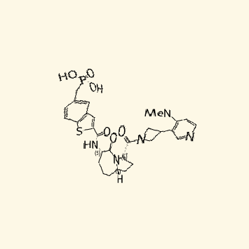 CNc1ccncc1C1CN(C(=O)[C@@H]2CC[C@@H]3CCC[C@H](NC(=O)c4cc5cc(CP(=O)(O)O)ccc5s4)C(=O)N32)C1